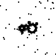 O=C1CCCCCNN(Cc2cccc(F)c2)C(=O)C1